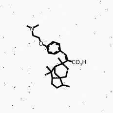 CC1CCC2C(C)(C)C3CC12CCC3(C)/C(=C\c1ccc(OCCN(C)C)cc1)C(=O)O